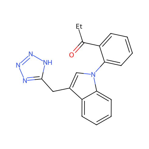 CCC(=O)c1ccccc1-n1cc(Cc2nnn[nH]2)c2ccccc21